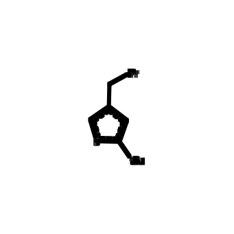 CC(C)Cc1csc(C(C)(C)C)c1